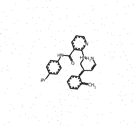 C=c1cccc/c1=C(/C=C\N)CNc1ncccc1C(=O)Nc1ccc(C(C)C)cc1